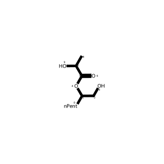 CCCCCC(CO)OC(=O)C(C)O